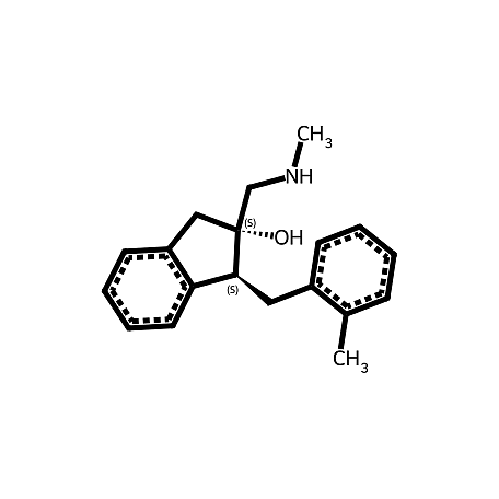 CNC[C@]1(O)Cc2ccccc2[C@@H]1Cc1ccccc1C